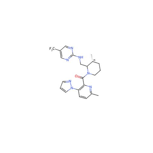 Cc1ccc(-n2cccn2)c(C(=O)N2CCC[C@@H](C)C2CNc2ncc(C(F)(F)F)cn2)n1